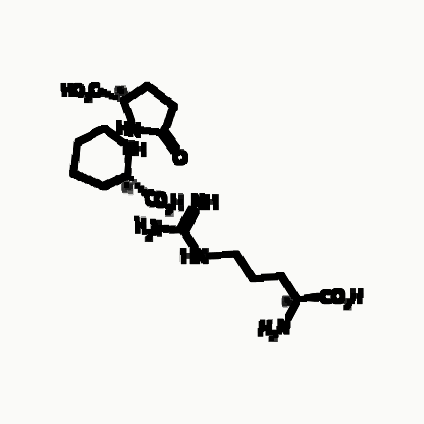 N=C(N)NCCC[C@H](N)C(=O)O.O=C(O)[C@@H]1CCCCN1.O=C1CC[C@@H](C(=O)O)N1